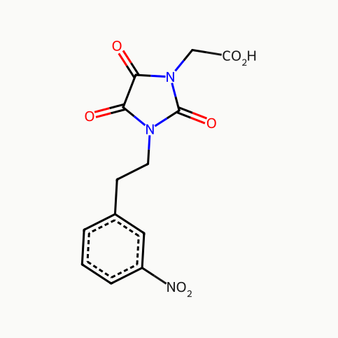 O=C(O)CN1C(=O)C(=O)N(CCc2cccc([N+](=O)[O-])c2)C1=O